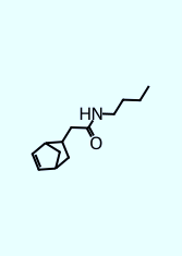 CCCCNC(=O)CC1CC2C=CC1C2